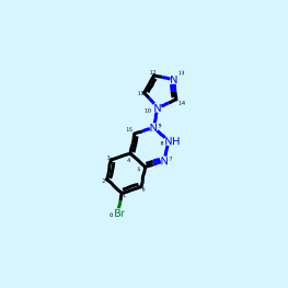 Brc1ccc2c(c1)=NNN(n1ccnc1)C=2